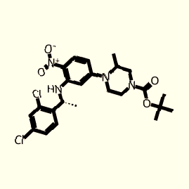 CC1CN(C(=O)OC(C)(C)C)CCN1c1ccc([N+](=O)[O-])c(N[C@H](C)c2ccc(Cl)cc2Cl)c1